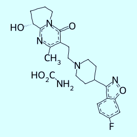 Cc1nc2n(c(=O)c1CCN1CCC(c3noc4cc(F)ccc34)CC1)CCC[C@H]2O.NC(=O)O